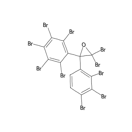 Brc1ccc(C2(c3c(Br)c(Br)c(Br)c(Br)c3Br)OC2(Br)Br)c(Br)c1Br